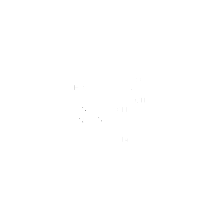 Cc1ccc(C(=O)O)c(C)c1-c1nnc2ccc(Br)cn12